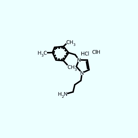 Cc1cc(C)c(CN2C=CN(CCCN)C2)c(C)c1.Cl.Cl